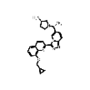 N[C@@H]1CCN([C@@H](c2ccc3nnc(-c4ccc5cccc(OCC6CC6)c5n4)n3c2)C(F)(F)F)C1